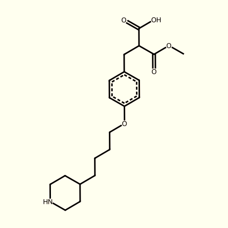 COC(=O)C(Cc1ccc(OCCCCC2CCNCC2)cc1)C(=O)O